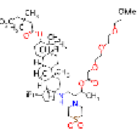 COCCOCCOCCOCC(=O)OC(C)C(CN[C@]12CC[C@@H](C(C)C)[C@@H]1[C@H]1CC[C@@H]3[C@@]4(C)CC[C@H](OC(=O)CC(C)(C)CC(=O)O)C(C)(C)[C@@H]4CC[C@@]3(C)[C@]1(C)CC2)N1CCS(=O)(=O)CC1